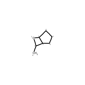 CC1OC2CCCC12